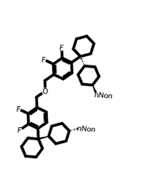 CCCCCCCCC[C@H]1CC[C@H](C2(c3ccc(COCc4ccc(C5([C@H]6CC[C@H](CCCCCCCCC)CC6)CCCCC5)c(F)c4F)c(F)c3F)CCCCC2)CC1